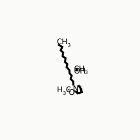 CCCCCCCCCCCCCCCC[n+]1ccccc1OC.CO